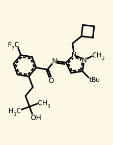 Cn1c(C(C)(C)C)c/c(=N\C(=O)c2cc(C(F)(F)F)ccc2CCC(C)(C)O)n1CC1CCC1